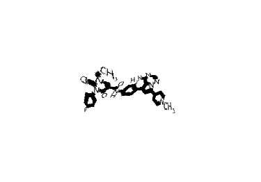 CCn1cc(C(=O)Nc2ccc(-c3cc(C4CCN(C)CC4)n4ncnc(N)c34)cc2)c(=O)n(-c2ccc(F)cc2)c1=O